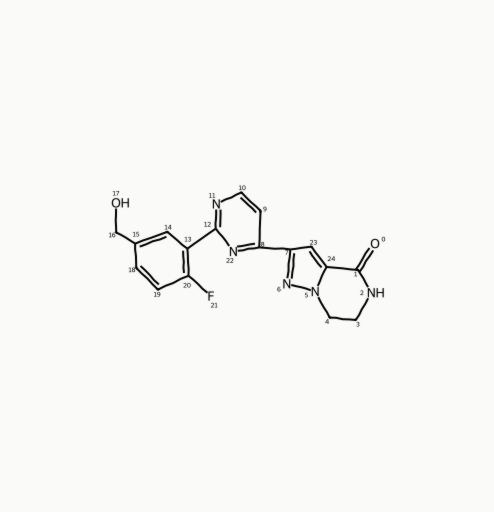 O=C1NCCn2nc(-c3ccnc(-c4cc(CO)ccc4F)n3)cc21